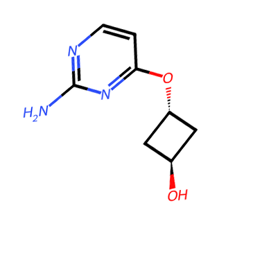 Nc1nccc(O[C@H]2C[C@H](O)C2)n1